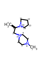 C=C(CN1CCN(C)CC1)N1CCCC1